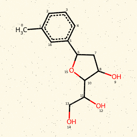 Cc1cccc(C2CC(O)C(C(O)CO)O2)c1